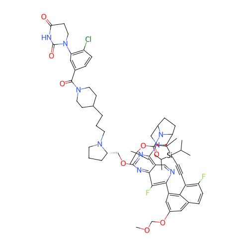 COCOc1cc(-c2ncc3c(N4CC5CCC(C4)N5C(=O)OC(C)(C)C)nc(OC[C@@H]4CCCN4CCCC4CCN(C(=O)c5ccc(Cl)c(N6CCC(=O)NC6=O)c5)CC4)nc3c2F)c2c(C#C[Si](C(C)C)(C(C)C)C(C)C)c(F)ccc2c1